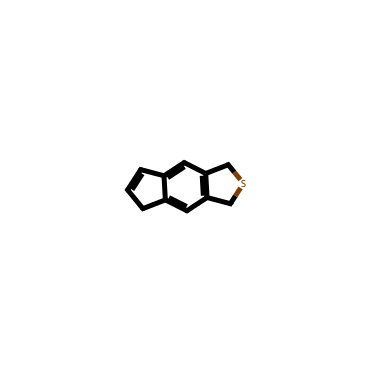 [CH]1SCc2cc3c(cc21)CC=C3